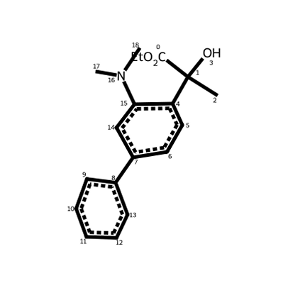 CCOC(=O)C(C)(O)c1ccc(-c2ccccc2)cc1N(C)C